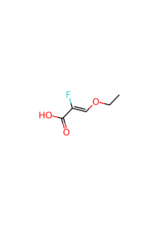 CCOC=C(F)C(=O)O